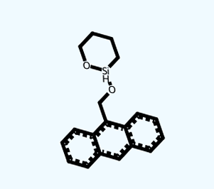 c1ccc2c(CO[SiH]3CCCCO3)c3ccccc3cc2c1